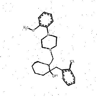 COc1ccccc1N1CCN(CC2CCCCC2(O)Cc2ccccc2Cl)CC1